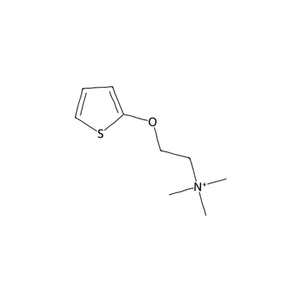 C[N+](C)(C)CCOc1cccs1